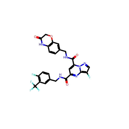 O=C1COc2cc(CNC(=O)c3cc(C(=O)NCc4ccc(F)c(C(F)(F)F)c4)nc4c(F)cnn34)ccc2N1